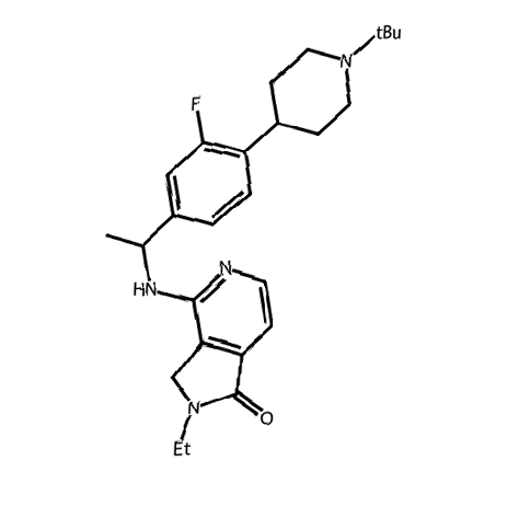 CCN1Cc2c(ccnc2NC(C)c2ccc(C3CCN(C(C)(C)C)CC3)c(F)c2)C1=O